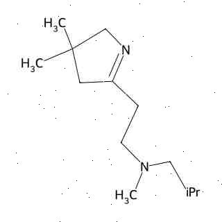 CC(C)CN(C)CCC1=NCC(C)(C)C1